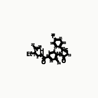 CCC(CNC(=O)c1ccc(N2C(=O)CSC2c2ccc(F)cc2)c(C)c1)N(C)C